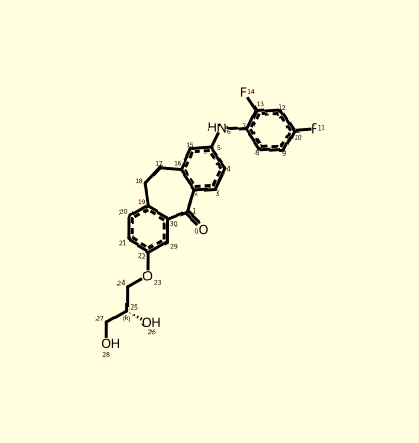 O=C1c2ccc(Nc3ccc(F)cc3F)cc2CCc2ccc(OC[C@H](O)CO)cc21